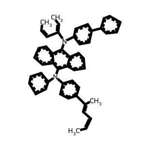 C/C=C\C=C(/C)c1ccc(N(c2ccccc2)c2c3ccccc3c(N(C(/C=C\C)=C/C)c3ccc(-c4ccccc4)cc3)c3ccccc23)cc1